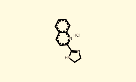 Cl.c1ccc2nc(C3=NCCN3)ccc2c1